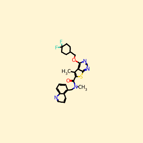 Cc1c(C(=O)N(C)Cc2cccc3ncccc23)sc2ncnc(OCC3CCC(F)(F)CC3)c12